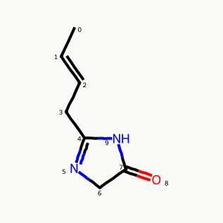 C/C=C/CC1=NCC(=O)N1